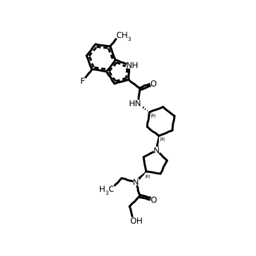 CCN(C(=O)CO)[C@@H]1CCN([C@@H]2CCC[C@@H](NC(=O)c3cc4c(F)ccc(C)c4[nH]3)C2)C1